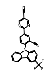 N#Cc1cnc(-c2ccc(-n3c4ccccc4c4cc(C(F)(F)F)ccc43)c(C#N)c2)nc1